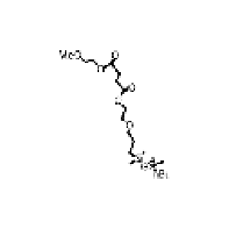 CCCC[Si](C)(C)O[Si](C)(C)CCCOCCOC(=O)CCC(=O)OCCOC